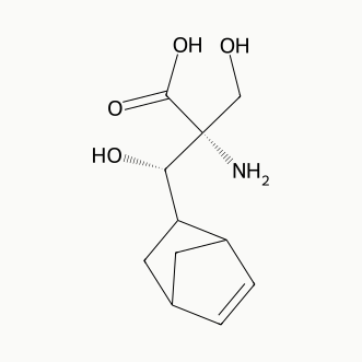 N[C@@](CO)(C(=O)O)[C@@H](O)C1CC2C=CC1C2